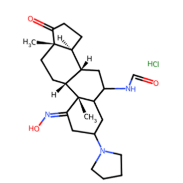 C[C@]12C(=NO)CC(N3CCCC3)CC1C(NC=O)C[C@@H]1[C@H]2CC[C@]2(C)C(=O)CC[C@@H]12.Cl